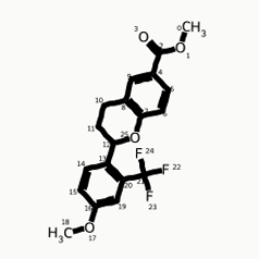 COC(=O)c1ccc2c(c1)CCC(c1ccc(OC)cc1C(F)(F)F)O2